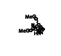 COc1ccc(CCOc2cc3c(OCC4CCCN4c4ncnc5[nH]cnc45)ccc(CCc4ccc(OC)cc4)c3cc2C(=O)N(C)C)cc1